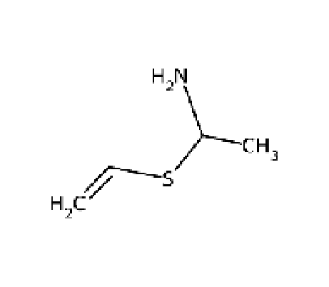 C=CSC(C)N